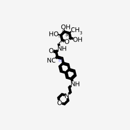 C[C@H]1C(O)O[C@H](CNC(=O)/C(C#N)=C/c2ccc3cc(NCCN4CCOCC4)ccc3c2)[C@@H](O)[C@@H]1O